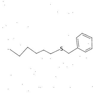 [CH2]CCCCCSCc1ccccc1